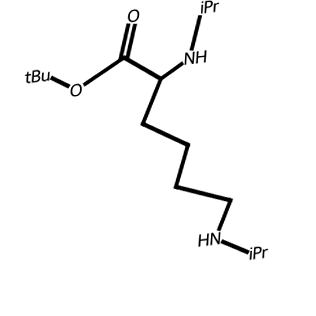 CC(C)NCCCCC(NC(C)C)C(=O)OC(C)(C)C